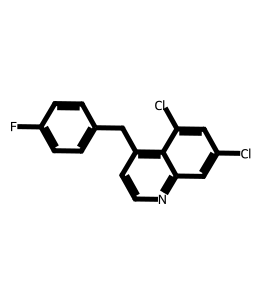 Fc1ccc(Cc2ccnc3cc(Cl)cc(Cl)c23)cc1